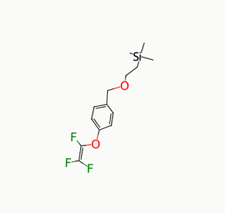 C[Si](C)(C)CCOCc1ccc(OC(F)=C(F)F)cc1